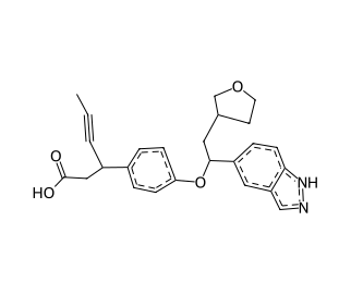 CC#CC(CC(=O)O)c1ccc(OC(CC2CCOC2)c2ccc3[nH]ncc3c2)cc1